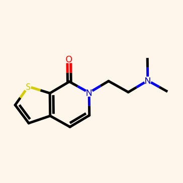 CN(C)CCn1ccc2ccsc2c1=O